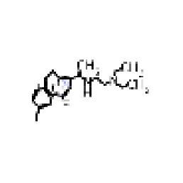 C=C(NCCN(CC)CC)C1=C(/C)CCc2ccc(I)cc2/C(F)=C\1